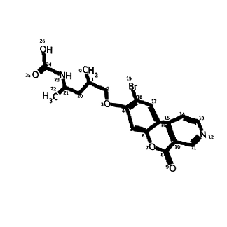 CC(COc1cc2oc(=O)c3cnccc3c2cc1Br)CC(C)NC(=O)O